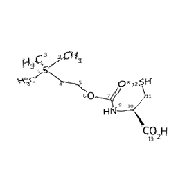 CS(C)(C)CCOC(=O)N[C@@H](CS)C(=O)O